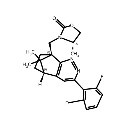 C[C@H]1COC(=O)N1C[C@@]12CC[C@@H](c3cc(-c4c(F)cccc4F)nnc31)C2(C)C